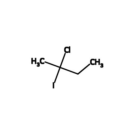 CCC(C)(Cl)I